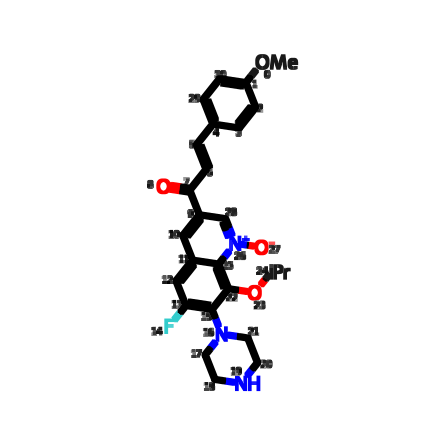 COc1ccc(C=CC(=O)c2cc3cc(F)c(N4CCNCC4)c(OC(C)C)c3[n+]([O-])c2)cc1